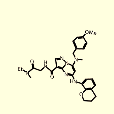 CCN(C)C(=O)CNC(=O)c1cnn2c(N(C)Cc3ccc(OC)cc3)cc(Nc3cccc4c3OCCC4)nc12